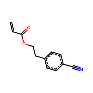 C=CC(=O)OCCc1ccc(C#N)cc1